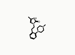 Cc1cn(CCc2ccccc2N2CCN(C)CC2)c(=O)[nH]1